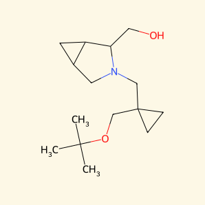 CC(C)(C)OCC1(CN2CC3CC3C2CO)CC1